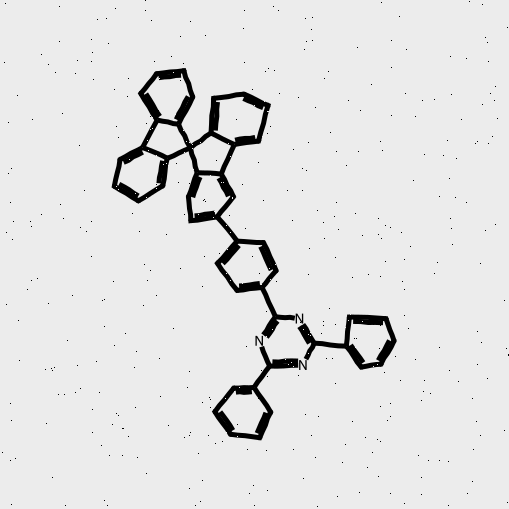 c1ccc(-c2nc(-c3ccccc3)nc(-c3ccc(-c4ccc5c(c4)-c4ccccc4C54c5ccccc5-c5ccccc54)cc3)n2)cc1